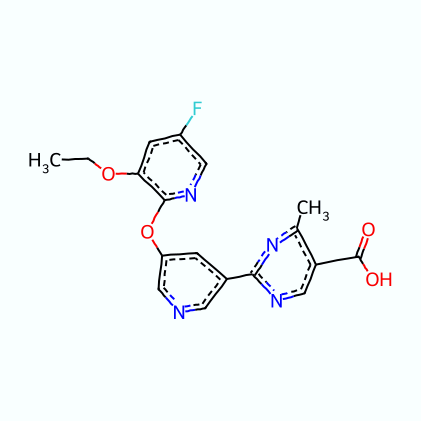 CCOc1cc(F)cnc1Oc1cncc(-c2ncc(C(=O)O)c(C)n2)c1